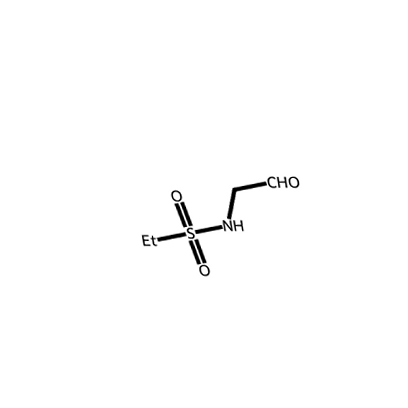 CCS(=O)(=O)NCC=O